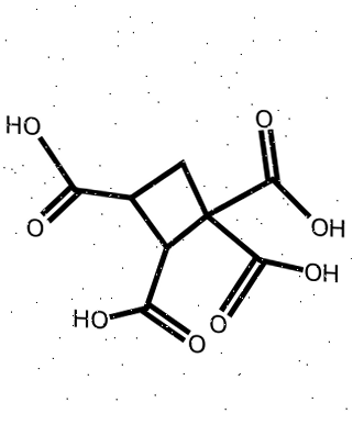 O=C(O)C1CC(C(=O)O)(C(=O)O)C1C(=O)O